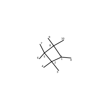 C[C]1C(C)(C)C(C)(C)C1(C)C